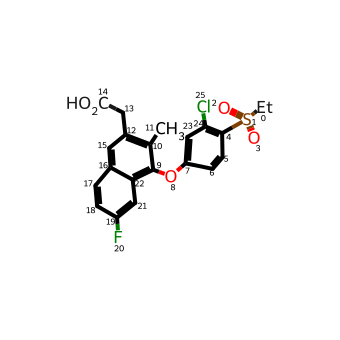 CCS(=O)(=O)c1ccc(Oc2c(C)c(CC(=O)O)cc3ccc(F)cc23)cc1Cl